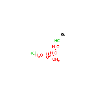 Cl.Cl.O.O.O.O.O.[Ru]